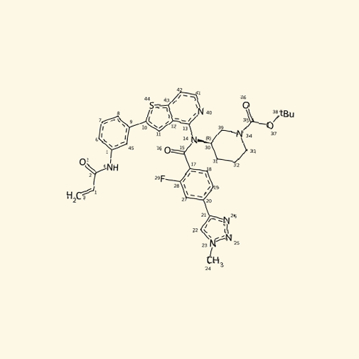 C=CC(=O)Nc1cccc(-c2cc3c(N(C(=O)c4ccc(-c5cn(C)nn5)cc4F)[C@@H]4CCCN(C(=O)OC(C)(C)C)C4)nccc3s2)c1